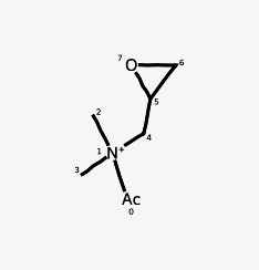 CC(=O)[N+](C)(C)CC1CO1